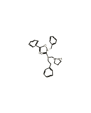 O=C(O[C@H](Cc1ccccc1)C(=O)N(CCc1ccccc1)C[C@@H]1CCCN1)c1ccccc1